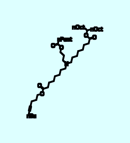 CCCCC#CCCCOC(=O)CCCCCCCN(CCCCCCCC(=O)OC(CCCCCCCC)CCCCCCCC)CCCOC(=O)CCCCC